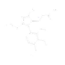 COC(=O)/C=C/c1c(C#N)[nH]c(CN)c1-c1ccc(CO)c(CO)c1CO